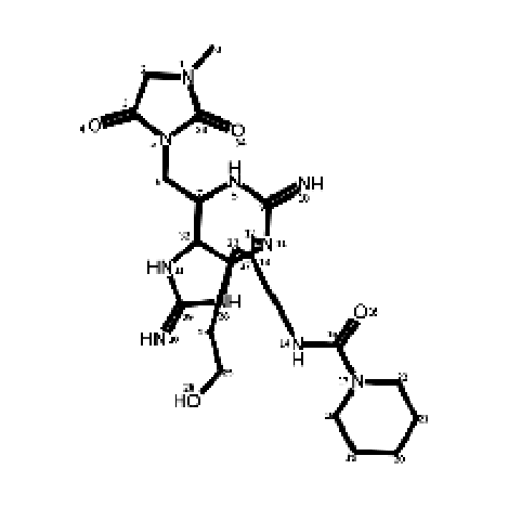 CN1CC(=O)N(CC2NC(=N)N3CC(NC(=O)N4CCCCC4)C(CCO)C34NC(=N)NC24)C1=O